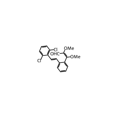 COC(C=O)=C(OC)c1ccccc1C=Cc1c(Cl)cccc1Cl